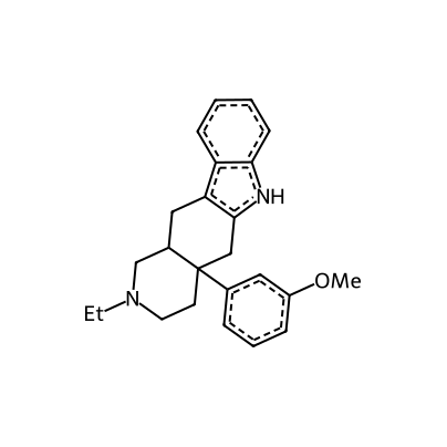 CCN1CCC2(c3cccc(OC)c3)Cc3[nH]c4ccccc4c3CC2C1